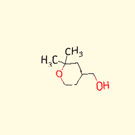 CC1(C)CC(CO)CCO1